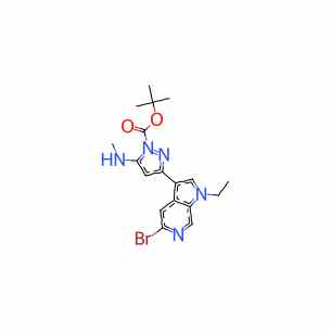 CCn1cc(-c2cc(NC)n(C(=O)OC(C)(C)C)n2)c2cc(Br)ncc21